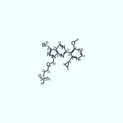 COc1ncnc(C2CC2)c1-c1ncc2c(Br)nn(COCC[Si](C)(C)C)c2n1